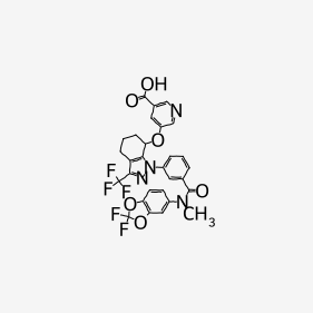 CN(C(=O)c1cccc(-n2nc(C(F)(F)F)c3c2C(Oc2cncc(C(=O)O)c2)CCC3)c1)c1ccc2c(c1)OC(F)(F)O2